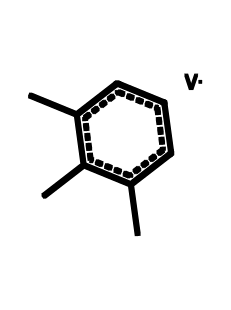 Cc1cccc(C)c1C.[V]